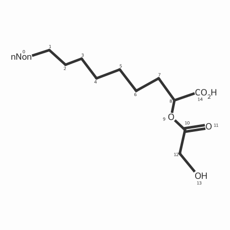 CCCCCCCCCCCCCCCCC(OC(=O)CO)C(=O)O